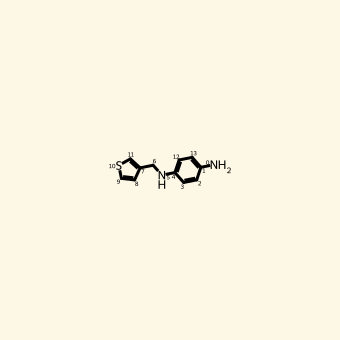 Nc1ccc(NCc2ccsc2)cc1